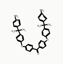 CC(C)(c1ccc(N)cc1)c1ccc(Oc2ccc(C(=O)c3ccc(Oc4ccc(C(C)(C)c5ccc(N)cc5)cc4)cc3)cc2)cc1